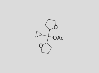 CC(=O)OC(C1CC1)(C1CCCO1)C1CCCO1